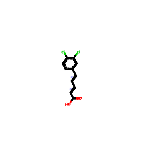 O=C(O)/C=C/C=C/c1ccc(Cl)c(Cl)c1